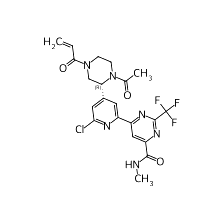 C=CC(=O)N1CCN(C(C)=O)[C@H](c2cc(Cl)nc(-c3cc(C(=O)NC)nc(C(F)(F)F)n3)c2)C1